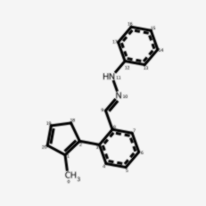 CC1=C(c2ccccc2C=NNc2ccccc2)CC=C1